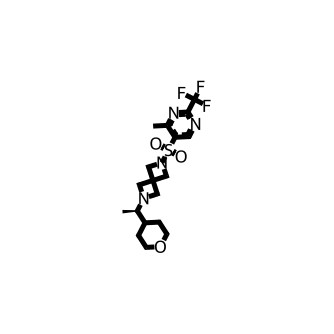 Cc1nc(C(F)(F)F)ncc1S(=O)(=O)N1CC2(CN([C@H](C)C3CCOCC3)C2)C1